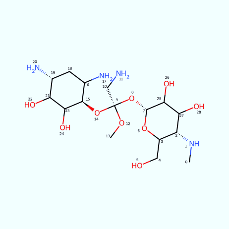 CN[C@@H]1C(CO)O[C@H](O[C@@](CN)(OC)O[C@@H]2C(N)C[C@@H](N)C(O)C2O)C(O)C1O